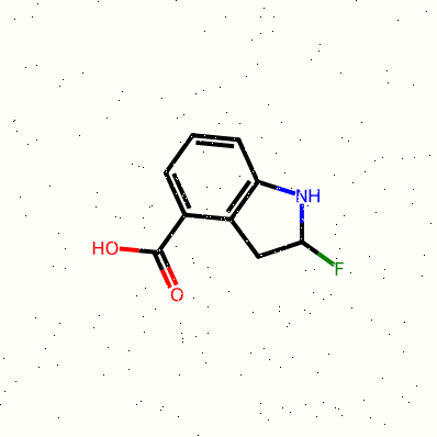 O=C(O)c1cccc2c1CC(F)N2